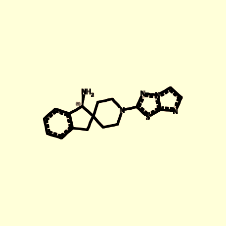 N[C@@H]1c2ccccc2CC12CCN(c1nn3ccnc3s1)CC2